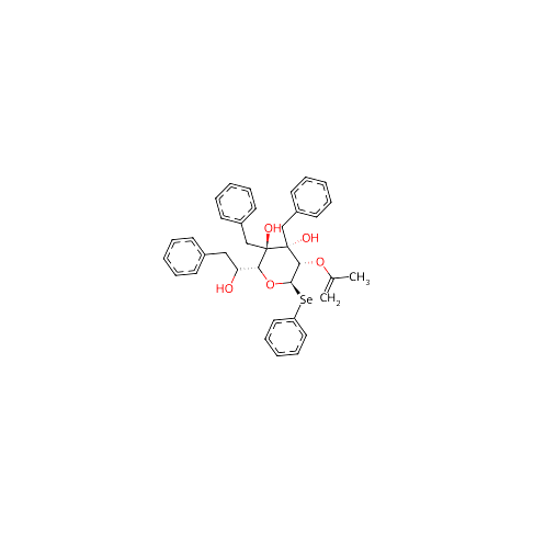 C=C(C)O[C@@H]1[C@@H]([Se]c2ccccc2)O[C@H](C(O)Cc2ccccc2)[C@](O)(Cc2ccccc2)[C@@]1(O)Cc1ccccc1